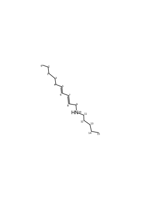 CCCCCC=CC=CCNCCCCC